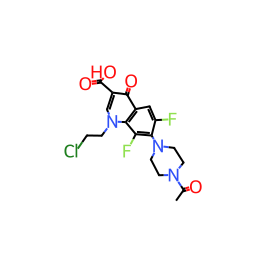 CC(=O)N1CCN(c2c(F)cc3c(=O)c(C(=O)O)cn(CCCl)c3c2F)CC1